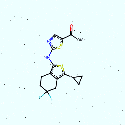 COC(=O)c1cnc(Nc2sc(C3CC3)c3c2CCC(F)(F)C3)s1